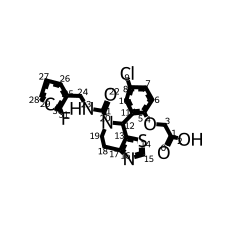 O=C(O)COc1ccc(Cl)cc1C1c2scnc2CCN1C(=O)NCc1ccccc1F